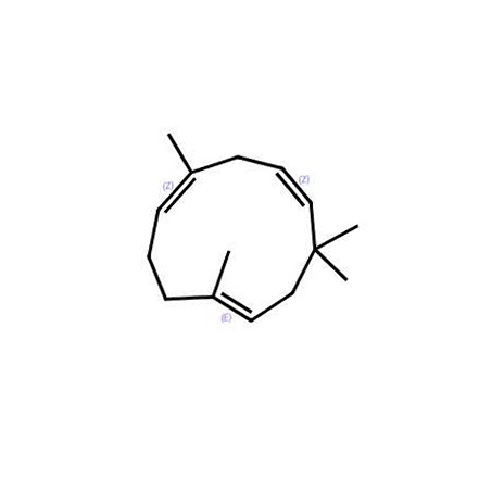 C/C1=C/CC/C(C)=C/CC(C)(C)/C=C\C1